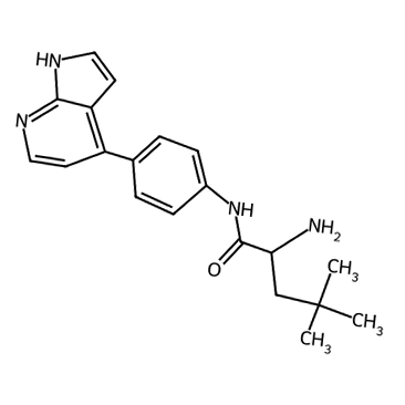 CC(C)(C)CC(N)C(=O)Nc1ccc(-c2ccnc3[nH]ccc23)cc1